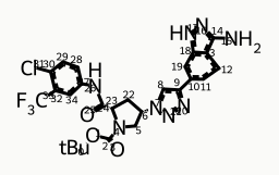 CC(C)(C)OC(=O)N1C[C@@H](n2cc(-c3ccc4c(N)n[nH]c4c3)nn2)C[C@H]1C(=O)Nc1ccc(Cl)c(C(F)(F)F)c1